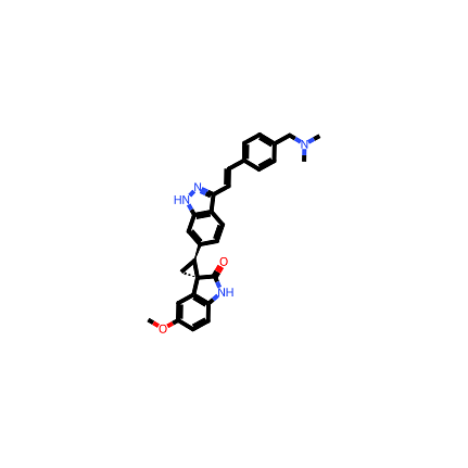 COc1ccc2c(c1)[C@]1(C[C@H]1c1ccc3c(C=Cc4ccc(CN(C)C)cc4)n[nH]c3c1)C(=O)N2